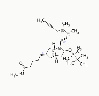 CC#CC[C@H](C)[C@H](C)/C=C/[C@H]1C(O[Si](C)(C)C(C)(C)C)C[C@@H]2C/C(=C\CCCC(=O)OC)C[C@@H]21